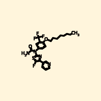 CCCCCCCCOc1ccc(N(C(N)=O)c2nc(-c3cccnc3)c(F)s2)cc1C(F)(F)F